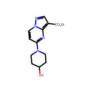 CCOC(=O)c1cnn2ccc(N3CCC(O)CC3)nc12